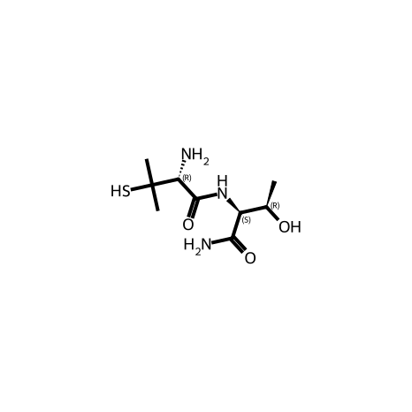 C[C@@H](O)[C@H](NC(=O)[C@@H](N)C(C)(C)S)C(N)=O